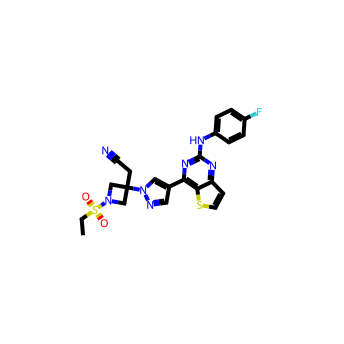 CCS(=O)(=O)N1CC(CC#N)(n2cc(-c3nc(Nc4ccc(F)cc4)nc4ccsc34)cn2)C1